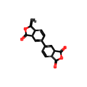 C=C1OC(=O)C2C=C(C3=CC4C(=O)OC(=O)C4C=C3)C=CC12